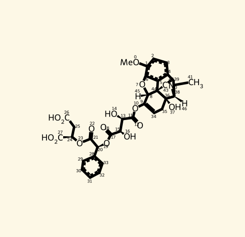 COc1ccc2c3c1O[C@H]1C(OC(=O)[C@H](O)[C@@H](O)C(=O)O[C@H](C(=O)O[C@H](CC(=O)O)C(=O)O)c4ccccc4)=CC[C@@]4(O)[C@@H](C2)N(C)CC[C@]314